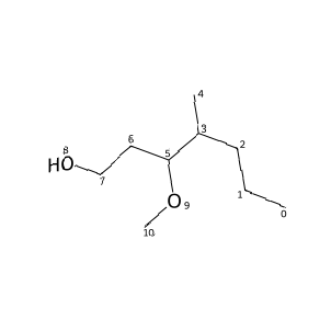 CCCC(C)C(CCO)OC